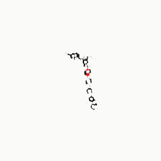 CC(C)(O)c1cc2nn(C34CCC(N5CCN(C6CCN(c7cc(F)c([C@H]8CCC(=O)NC8=O)c(F)c7)CC6)CC5)(CC3)CC4)cc2cc1NC(=O)c1ccc2cc(C#N)cnn12